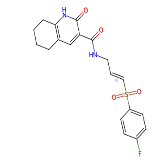 O=C(NC/C=C/S(=O)(=O)c1ccc(F)cc1)c1cc2c([nH]c1=O)CCCC2